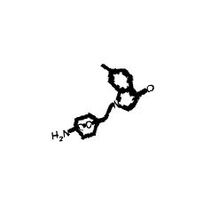 Cc1ccc2c(=O)ccn(CCC34CCC(N)(CC3)CO4)c2c1